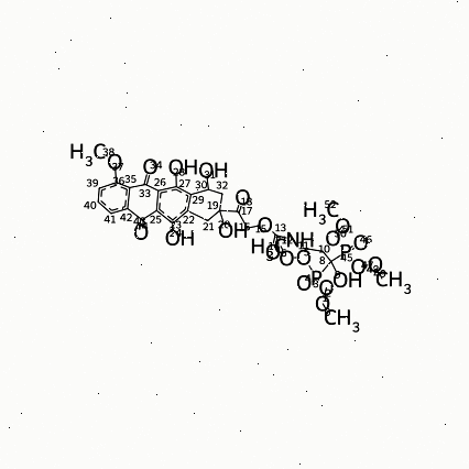 COOP(=O)(OOC)C(O)(CCNC(=O)OCC(=O)C1(O)Cc2c(O)c3c(c(O)c2C(O)C1)C(=O)c1c(OC)cccc1C3=O)P(=O)(OOC)OOC